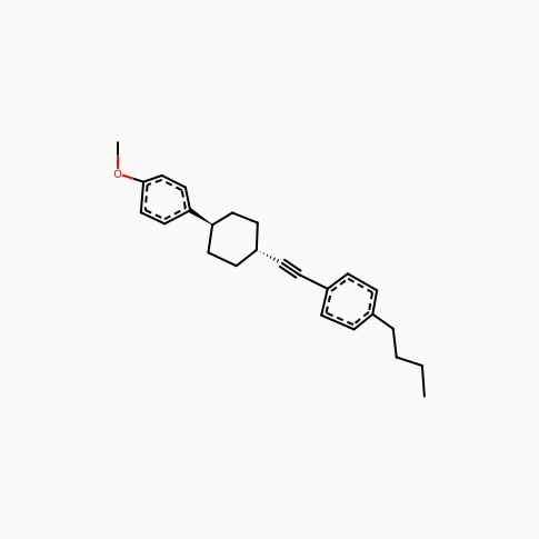 CCCCc1ccc(C#C[C@H]2CC[C@H](c3ccc(OC)cc3)CC2)cc1